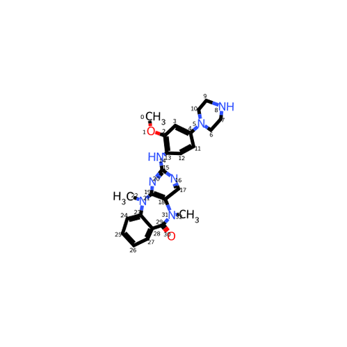 COc1cc(N2CCNCC2)ccc1Nc1ncc2c(n1)N(C)c1ccccc1C(=O)N2C